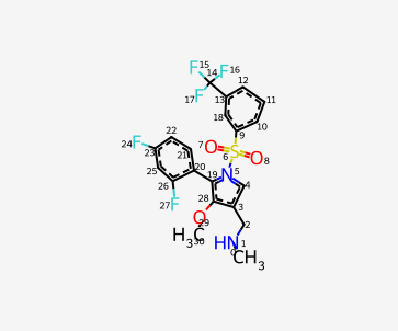 CNCc1cn(S(=O)(=O)c2cccc(C(F)(F)F)c2)c(-c2ccc(F)cc2F)c1OC